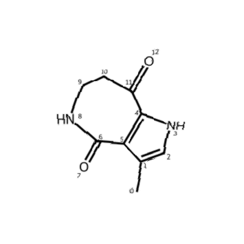 Cc1c[nH]c2c1C(=O)NCCC2=O